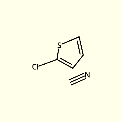 C#N.Clc1cccs1